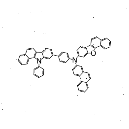 c1ccc(-n2c3cc(-c4ccc(N(c5ccc6c(ccc7ccccc76)c5)c5ccc6c(c5)oc5c7ccccc7ccc65)cc4)ccc3c3ccc4ccccc4c32)cc1